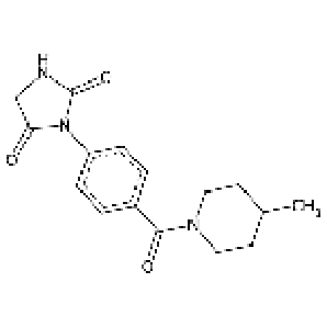 CC1CCN(C(=O)c2ccc(N3C(=O)CNC3=O)cc2)CC1